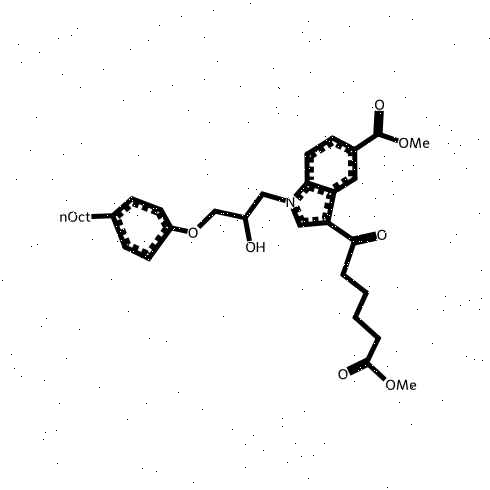 CCCCCCCCc1ccc(OCC(O)Cn2cc(C(=O)CCCCC(=O)OC)c3cc(C(=O)OC)ccc32)cc1